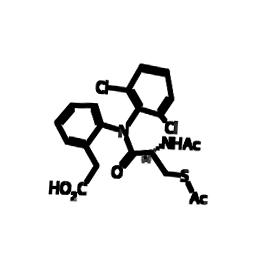 CC(=O)N[C@H](CSC(C)=O)C(=O)N(c1ccccc1CC(=O)O)c1c(Cl)cccc1Cl